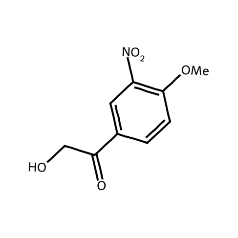 COc1ccc(C(=O)CO)cc1[N+](=O)[O-]